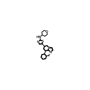 Fc1ccccc1-c1cc(-c2cnc(NC3CCOCC3)s2)cn2ccnc12